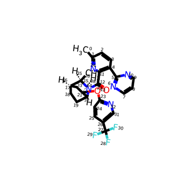 Cc1ccc(-c2ncccn2)c(C(=O)N2[C@H](C)[C@@H]3CC[C@H]2[C@H](Oc2ccc(C(F)(F)F)cn2)C3)n1